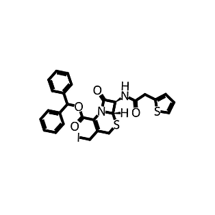 O=C(Cc1cccs1)N[C@@H]1C(=O)N2C(C(=O)OC(c3ccccc3)c3ccccc3)=C(CI)CS[C@@H]12